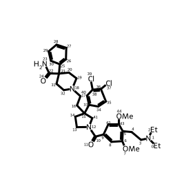 CCN(CC)CCc1c(OC)cc(C(=O)N2CCC(CCN3CCC(C(N)=O)(c4ccccc4)CC3)(c3ccc(Cl)c(Cl)c3)C2)cc1OC